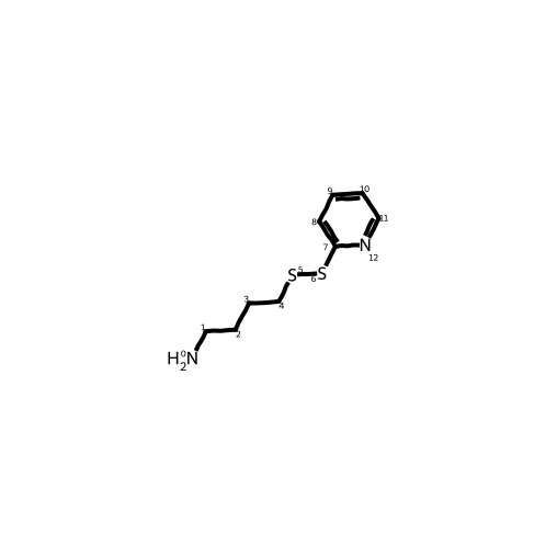 NCCCCSSc1ccccn1